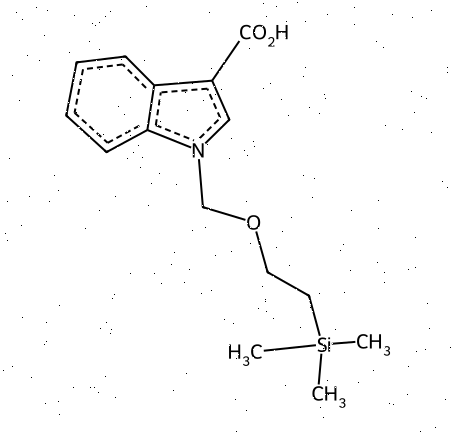 C[Si](C)(C)CCOCn1cc(C(=O)O)c2ccccc21